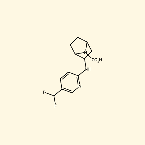 O=C(O)N1C2CCC1C(Nc1ccc(C(F)F)cn1)C2